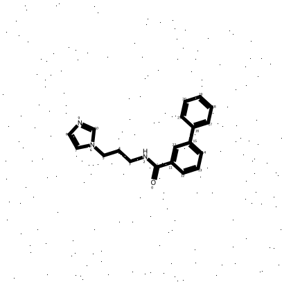 O=C(NCCCn1ccnc1)c1cccc(-c2ccccc2)c1